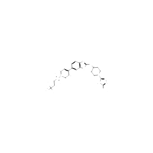 Cc1nnc(N2CCC(Oc3nc4ccc(C5=CCN(S(=O)(=O)CCC(C)(C)O)CC5)cc4s3)CC2)s1